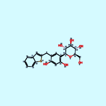 OC[C@H]1O[C@@H](c2cc(Cc3cc4ccccc4s3)c(O)cc2O)[C@H](O)[C@@H](O)[C@@H]1O